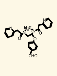 CN(CC(Oc1ccc(C=O)cc1)N(C)C(=O)Cc1ccccn1)C(=O)Cc1ccccn1